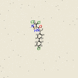 CC(NC(=O)c1snc(Cl)c1Cl)c1ccc(-c2ccc(Cl)cc2)cc1